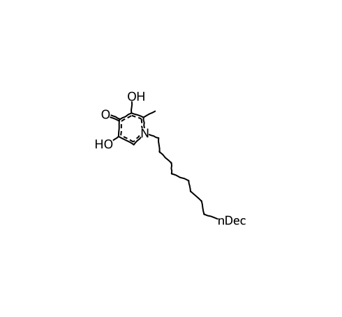 CCCCCCCCCCCCCCCCCCn1cc(O)c(=O)c(O)c1C